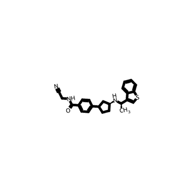 C[C@@H](N[C@H]1CCC(c2ccc(C(=O)NCC#N)cc2)C1)c1csc2ccccc12